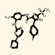 Cc1ccc(NC(=O)c2nc(S(C)(=O)=O)[nH]c2-c2ccc(F)cc2)cc1Nc1nccc(-c2cccnc2)n1